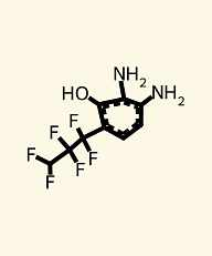 Nc1ccc(C(F)(F)C(F)(F)C(F)F)c(O)c1N